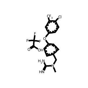 CN(Cc1ccc(Oc2ccc(Cl)c(C(F)(F)F)c2)cc1)C(=N)N.O=C(O)C(F)(F)F